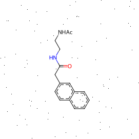 CC(=O)NCCNC(=O)Cc1ccc2ccccc2c1